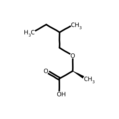 CCC(C)CO[C@@H](C)C(=O)O